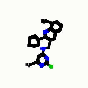 Cc1cc(NCc2cc3cccc(C)c3nc2-c2ccccc2)nc(Cl)n1